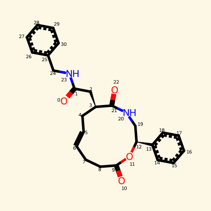 O=C(C[C@@H]1C/C=C/CCC(=O)O[C@H](c2ccccc2)CNC1=O)NCc1ccccc1